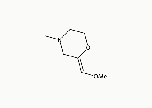 CO/C=C1/CN(C)CCO1